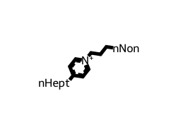 CCCCCCCCCCCC[n+]1ccc(CCCCCCC)cc1